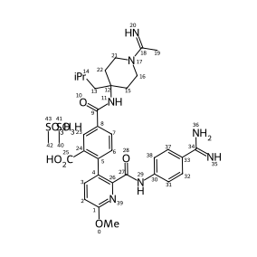 COc1ccc(-c2ccc(C(=O)NC3(CC(C)C)CCN(C(C)=N)CC3)cc2C(=O)O)c(C(=O)Nc2ccc(C(=N)N)cc2)n1.CS(=O)(=O)O.CS(=O)(=O)O